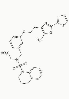 Cc1oc(-c2cccs2)nc1CCOc1cccc(CN(CC(=O)O)S(=O)(=O)N2CCCc3ccccc32)c1